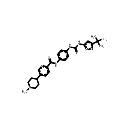 CN1CCC(c2ccc(C(=O)Nc3ccc(NC(=O)Nc4cc(C(C)(C)C)on4)cc3)nc2)CC1